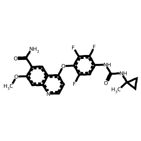 COc1cc2nccc(Oc3c(F)cc(NC(=O)NC4(C)CC4)c(F)c3F)c2cc1C(N)=O